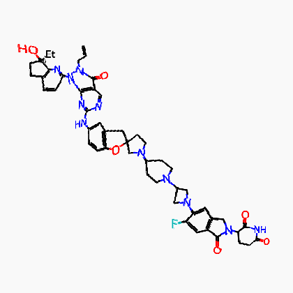 C=CCn1c(=O)c2cnc(Nc3ccc4c(c3)CC3(CCN(C5CCN(C6CN(c7cc8c(cc7F)C(=O)N(C7CCC(=O)NC7=O)C8)C6)CC5)C3)O4)nc2n1-c1ccc2c(n1)[C@@](O)(CC)CC2